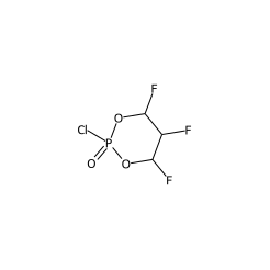 O=P1(Cl)OC(F)C(F)C(F)O1